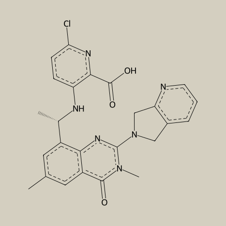 Cc1cc([C@H](C)Nc2ccc(Cl)nc2C(=O)O)c2nc(N3Cc4cccnc4C3)n(C)c(=O)c2c1